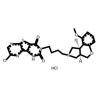 COc1cccc2c1[C@@H]1CN(CCCCn3c(=O)[nH]c4c(sc5ncc(Cl)nc54)c3=O)C[C@@H]1CO2.Cl